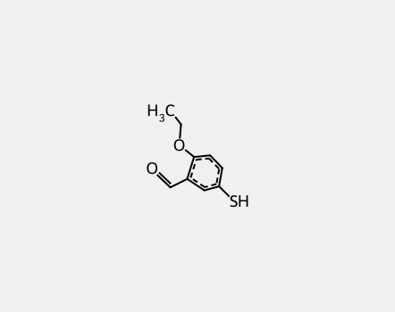 CCOc1ccc(S)cc1C=O